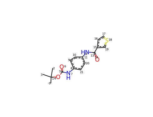 CC(C)(C)OC(=O)Nc1ccc(NC(=O)c2ccsc2)cc1